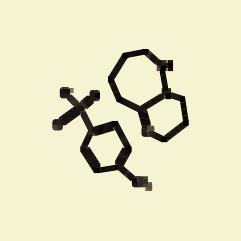 Cc1ccc(S(=O)(=O)[O-])cc1.[C+]1=C2CCCCNN2CCC1